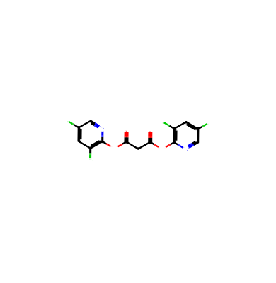 O=C(CC(=O)Oc1ncc(Cl)cc1Cl)Oc1ncc(Cl)cc1Cl